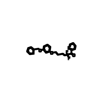 O=C(c1ccccn1)C(F)(F)CCCCOc1cccc(OCc2ccccc2)c1